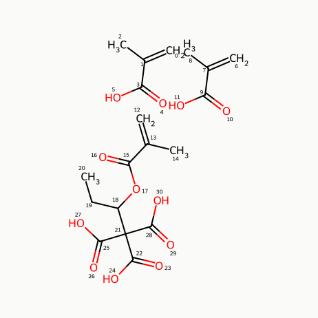 C=C(C)C(=O)O.C=C(C)C(=O)O.C=C(C)C(=O)OC(CC)C(C(=O)O)(C(=O)O)C(=O)O